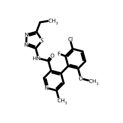 CCc1nnc(NC(=O)c2cnc(C)cc2-c2c(OC)ccc(Cl)c2F)s1